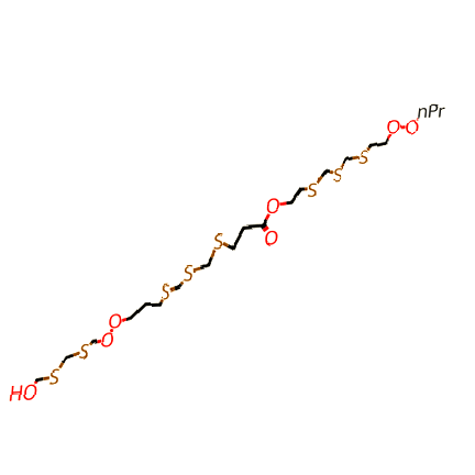 CCCOOCCSCSCSCCOC(=O)CCSCSCSCCCOOCSCSCO